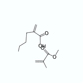 C=C(C)C(=O)OC.C=C(CCCC)C(=O)O